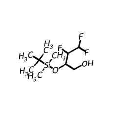 CC(C)(C)[Si](C)(C)OC(CO)C(F)C(F)F